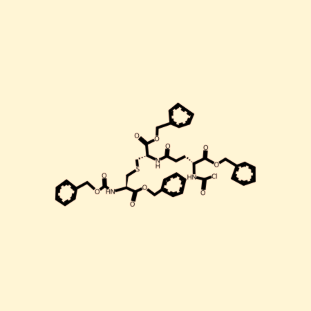 O=C(Cl)N[C@H](CCC(=O)N[C@H](CSC[C@H](NC(=O)OCc1ccccc1)C(=O)OCc1ccccc1)C(=O)OCc1ccccc1)C(=O)OCc1ccccc1